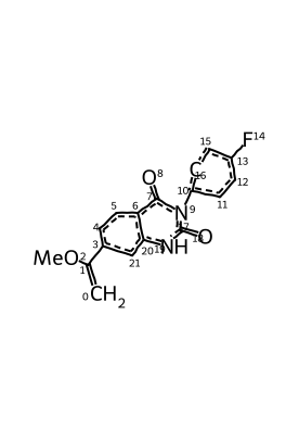 C=C(OC)c1ccc2c(=O)n(-c3ccc(F)cc3)c(=O)[nH]c2c1